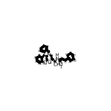 CN(CCN(Cc1ccccc1)[C@@H](Cc1ccccc1)C(=O)O)NC(=O)CCc1ccccc1